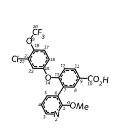 COc1ncccc1-c1cc(C(=O)O)ccc1Oc1ccc(OC(F)(F)F)c(Cl)c1